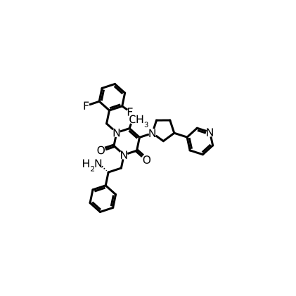 Cc1c(N2CCC(c3cccnc3)C2)c(=O)n(C[C@@H](N)c2ccccc2)c(=O)n1Cc1c(F)cccc1F